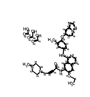 CCOc1cc2ncnc(Nc3ccc(Oc4ccn5ncnc5c4)c(C)c3)c2cc1NC(=O)C#CCN1CCN(C)CC1.O=CO.O=CO.O=CO